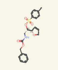 Cc1ccc(S(=O)(=O)O[C@@H](CNC(=O)OCc2ccccc2)[C@@H]2C=CCO2)cc1